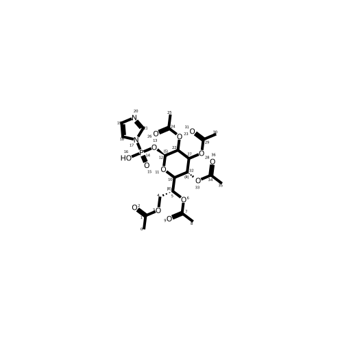 CC(=O)OC[C@@H](OC(C)=O)C1O[C@@H](OP(=O)(O)n2ccnc2)C(OC(C)=O)C(OC(C)=O)[C@@H]1OC(C)=O